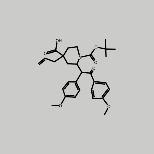 C=CCC1(C(=O)O)CCN(C(=O)OC(C)(C)C)C(C(C(=O)c2ccc(OC)cc2)c2ccc(OC)cc2)C1